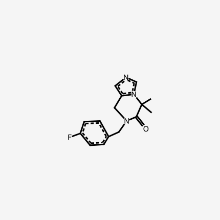 CC1(C)C(=O)N(Cc2ccc(F)cc2)Cc2cncn21